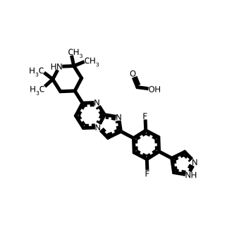 CC1(C)CC(c2ccn3cc(-c4cc(F)c(-c5cn[nH]c5)cc4F)nc3n2)CC(C)(C)N1.O=CO